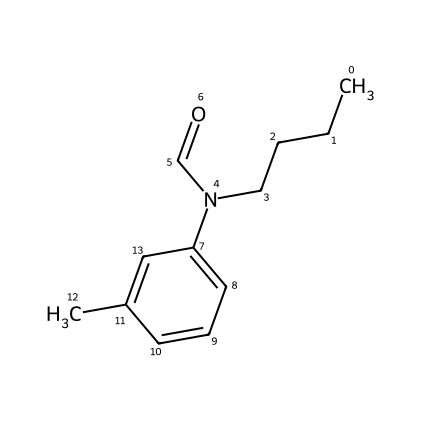 CCCCN(C=O)c1cccc(C)c1